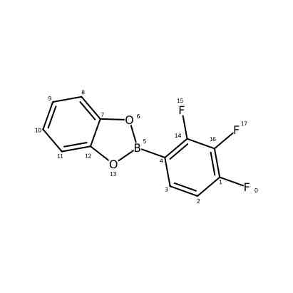 Fc1ccc(B2Oc3ccccc3O2)c(F)c1F